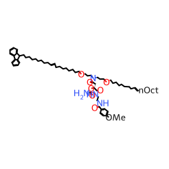 CCCCCCCCC=CCCCCCCCCOCCCN(CCCOCCCCCCCCC=CCCCCCCCCCC1c2ccccc2-c2ccccc21)C(=O)C[C@@H](OC(N)=O)C(=O)NCCNC(=O)c1ccc(OC)cc1